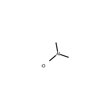 [CH3][Al]([CH3])[CH3].[O]